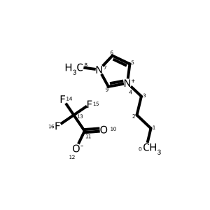 CCCC[n+]1ccn(C)c1.O=C([O-])C(F)(F)F